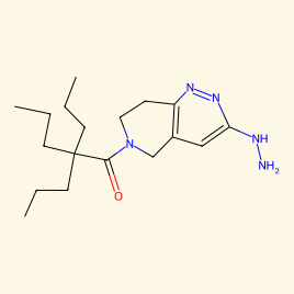 CCCC(CCC)(CCC)C(=O)N1CCc2nnc(NN)cc2C1